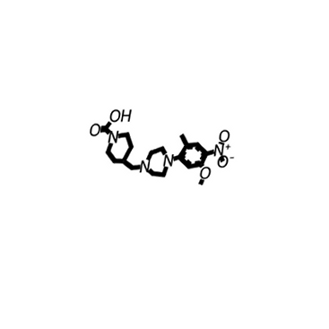 COc1cc(N2CCN(CC3CCN(C(=O)O)CC3)CC2)c(C)cc1[N+](=O)[O-]